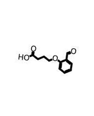 O=Cc1ccccc1OCCCC(=O)O